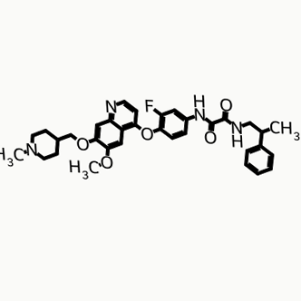 COc1cc2c(Oc3ccc(NC(=O)C(=O)NCC(C)c4ccccc4)cc3F)ccnc2cc1OCC1CCN(C)CC1